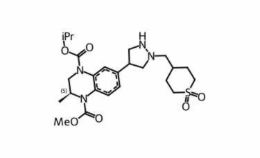 COC(=O)N1c2ccc(C3CNN(CC4CCS(=O)(=O)CC4)C3)cc2N(C(=O)OC(C)C)C[C@@H]1C